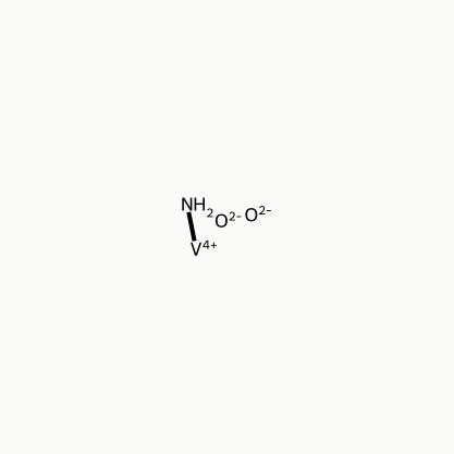 [NH2][V+4].[O-2].[O-2]